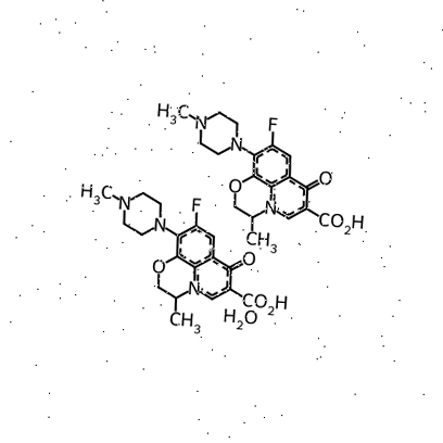 CC1COc2c(N3CCN(C)CC3)c(F)cc3c(=O)c(C(=O)O)cn1c23.CC1COc2c(N3CCN(C)CC3)c(F)cc3c(=O)c(C(=O)O)cn1c23.O